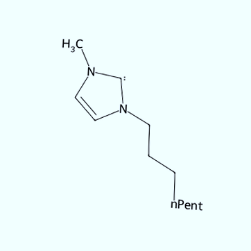 CCCCCCCCN1[C]N(C)C=C1